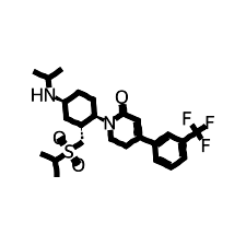 CC(C)N[C@H]1CC[C@@H](N2CCC(c3cccc(C(F)(F)F)c3)=CC2=O)[C@H](CS(=O)(=O)C(C)C)C1